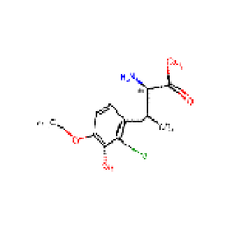 COc1ccc(C(C)[C@@H](N)C(=O)O)c(Cl)c1O